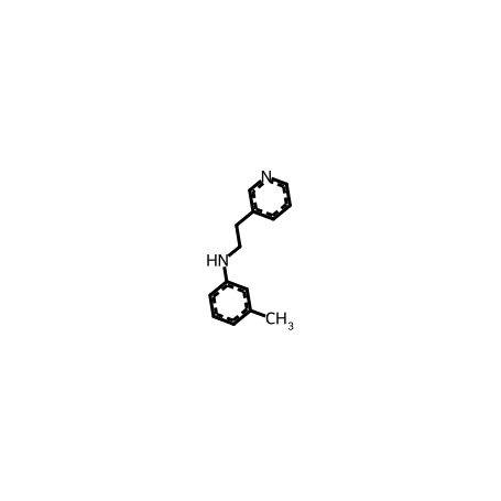 Cc1cccc(NCCc2cccnc2)c1